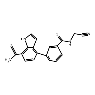 N#CCNC(=O)c1cccc(-c2ccc(C(N)=O)c3[nH]ccc23)c1